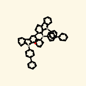 c1ccc(-c2ccc(N(c3ccccc3)c3c(-c4ccc5c(c4)c4ccccc4n5-c4ccc(-c5ccccc5)cc4)ccc4c5ccccc5n(-c5ccccc5)c34)cc2)cc1